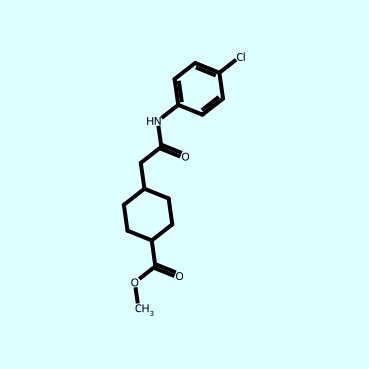 COC(=O)C1CCC(CC(=O)Nc2ccc(Cl)cc2)CC1